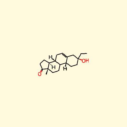 CC[C@]1(O)CC[C@H]2C(=CC[C@@H]3C2CC[C@]2(C)C(=O)CC[C@@H]32)C1